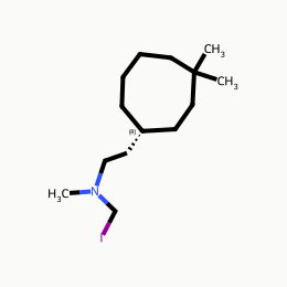 CN(CI)CC[C@@H]1CCCCC(C)(C)CC1